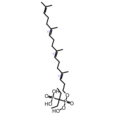 CCC(CC)(P(=O)(O)O)P(=O)(OO)OCC/C=C(\C)CC/C=C(\C)CC/C=C(\C)CCC=C(C)C